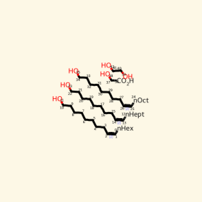 CCCCCC/C=C\CCCCCCCCO.CCCCCCC/C=C\CCCCCCCCO.CCCCCCCC/C=C\CCCCCCCCO.O=C(O)CO.OCCO